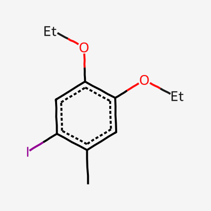 CCOc1cc(C)c(I)cc1OCC